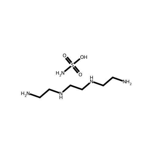 NCCNCCNCCN.NS(=O)(=O)O